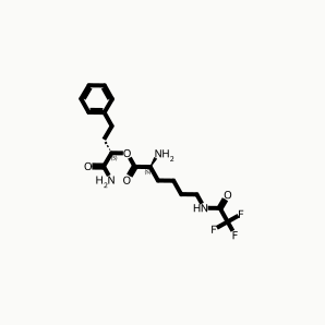 NC(=O)[C@H](CCc1ccccc1)OC(=O)[C@@H](N)CCCCNC(=O)C(F)(F)F